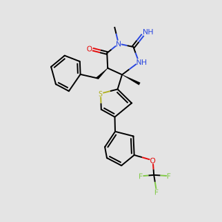 CN1C(=N)N[C@](C)(c2cc(-c3cccc(OC(F)(F)F)c3)cs2)[C@@H](Cc2ccccc2)C1=O